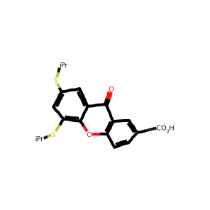 CC(C)Sc1cc(SC(C)C)c2oc3ccc(C(=O)O)cc3c(=O)c2c1